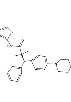 CC(C)(C(=O)Nc1nncs1)[C@H](c1ccccc1)c1ccc(N2CCOCC2)cc1